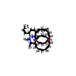 CC/C=C\C(/C=C\CCCCC)N(C1=C/C=C\C=C/C=C\C=C/C=C\1)N(C)C(C)C1=C/C=C\C=C/C=C\C=C/C=C\1